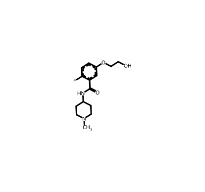 CN1CCC(NC(=O)c2cc(OCCO)ccc2F)CC1